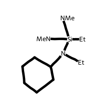 CCN(C1CCCCC1)[Si](CC)(NC)NC